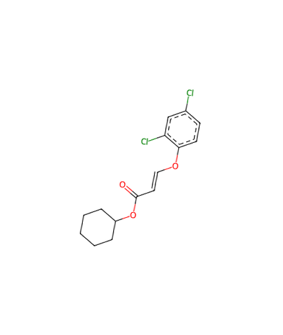 O=C(C=COc1ccc(Cl)cc1Cl)OC1CCCCC1